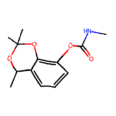 CNC(=O)Oc1cccc2c1OC(C)(C)OC2C